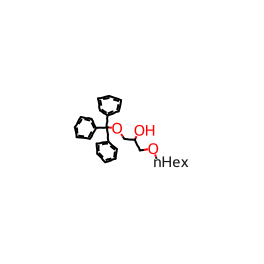 CCCCCCOCC(O)COC(c1ccccc1)(c1ccccc1)c1ccccc1